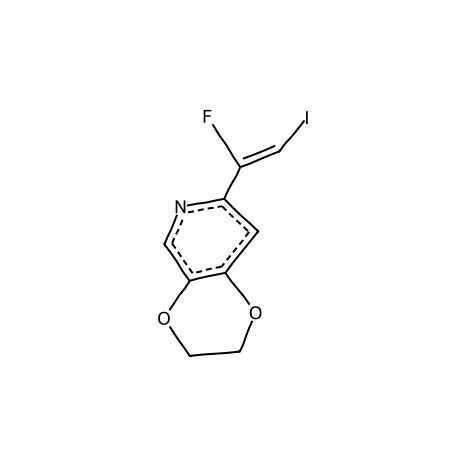 FC(=CI)c1cc2c(cn1)OCCO2